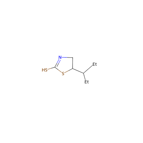 CCC(CC)C1CN=C(S)S1